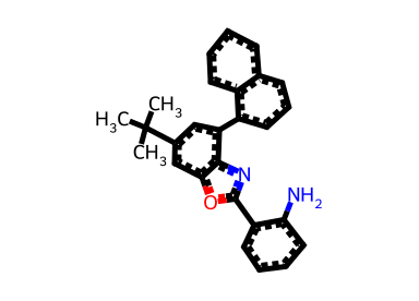 CC(C)(C)c1cc(-c2cccc3ccccc23)c2nc(-c3ccccc3N)oc2c1